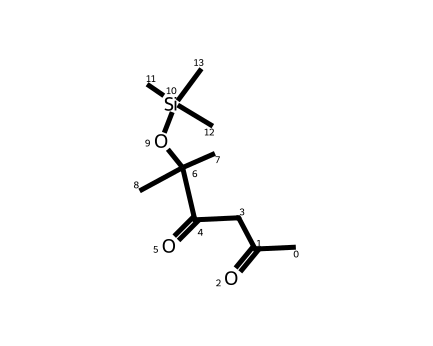 CC(=O)CC(=O)C(C)(C)O[Si](C)(C)C